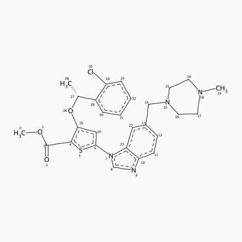 COC(=O)c1sc(-n2cnc3ccc(CN4CCN(C)CC4)cc32)cc1O[C@H](C)c1ccccc1Cl